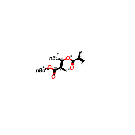 C=C(C)C(=O)OC(CCCC)=C(C)C(=O)OCCCC